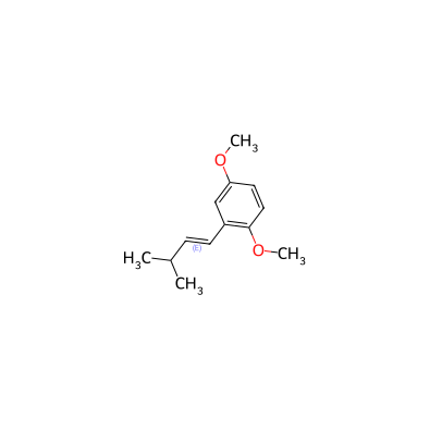 COc1ccc(OC)c(/C=C/C(C)C)c1